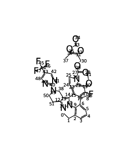 CCc1cccc(CC)c1-n1nc2c(c1-c1cc(F)c(OC)c3c1ccn3C(=O)OCc1oc(=O)oc1C)CN(c1ncc(C(F)(F)F)cn1)CC2